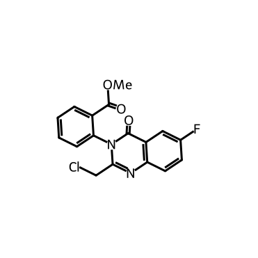 COC(=O)c1ccccc1-n1c(CCl)nc2ccc(F)cc2c1=O